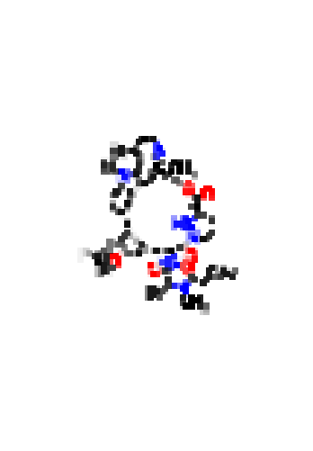 CCc1ccncc1-c1c2c3cc(ccc3n1CC)-c1cc(cc(O[Si](C(C)C)(C(C)C)C(C)C)c1)C[C@H](NC(=O)[C@H](C(C)C)N(C)C(=O)COC(C)=O)C(=O)N1CCC[C@H](N1)C(=O)OCC(C)(C)C2